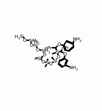 CCCC(Oc1cccc(N)c1)[Si](C)(O[Si](C)(C)O[Si](C)(C)O[SiH](C)O[SiH2]O[SiH2]O[SiH2]O[SiH3])C(CCC)Oc1cccc(N)c1